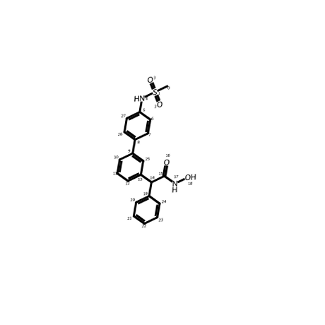 CS(=O)(=O)Nc1ccc(-c2cccc(C(C(=O)NO)c3ccccc3)c2)cc1